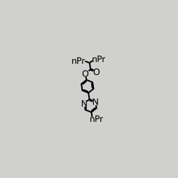 CCCc1cnc(-c2ccc(OC(=O)C(CCC)CCC)cc2)nc1